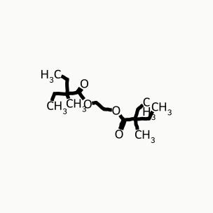 CCC(C)(CC)C(=O)OCCOC(=O)C(C)(CC)CC